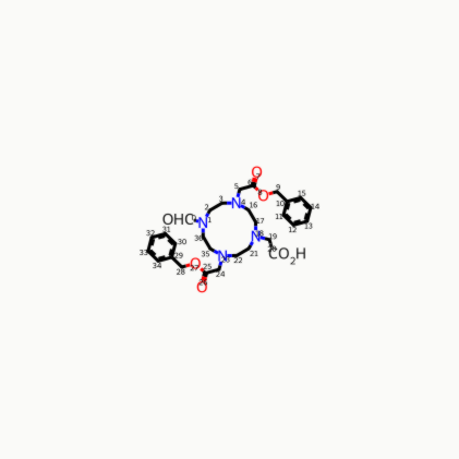 O=CN1CCN(CC(=O)OCc2ccccc2)CCN(CC(=O)O)CCN(CC(=O)OCc2ccccc2)CC1